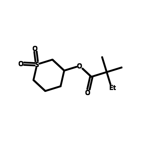 CCC(C)(C)C(=O)OC1CCCS(=O)(=O)C1